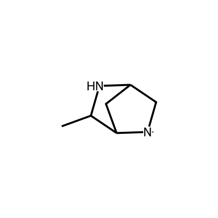 CC1NC2C[N]C1C2